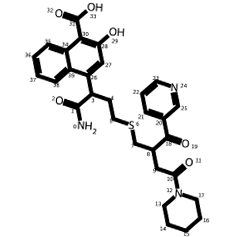 NC(=O)C(CCSCC(CC(=O)N1CCCCC1)C(=O)c1cccnc1)c1cc(O)c(C(=O)O)c2ccccc12